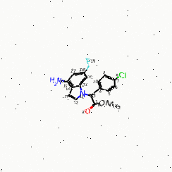 COC(=O)C(c1ccc(Cl)cc1)n1ccc2c(N)cc(F)cc21